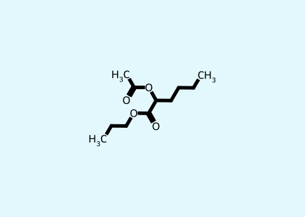 CCCCC(OC(C)=O)C(=O)OCCC